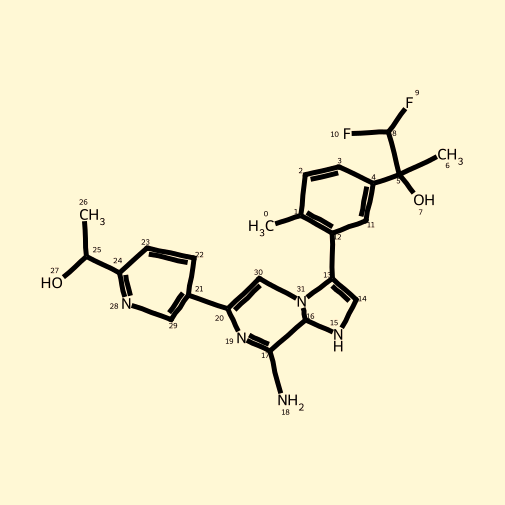 Cc1ccc(C(C)(O)C(F)F)cc1C1=CNC2C(N)=NC(c3ccc(C(C)O)nc3)=CN12